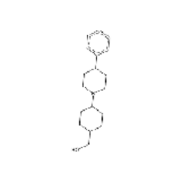 OCC1CCC(N2CCC(c3ccccc3)CC2)CC1